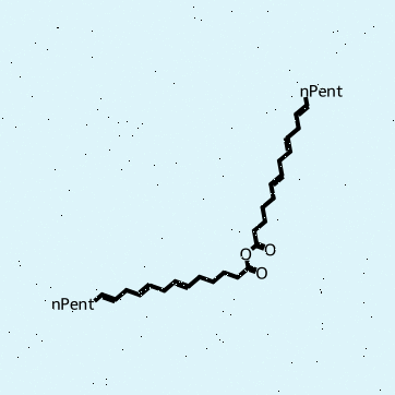 CCCCCC=CCC=CCC=CCCCCC(=O)OC(=O)CCCCC=CCC=CCC=CCCCCC